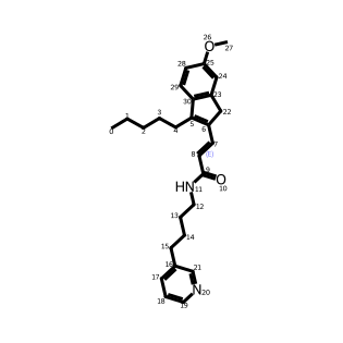 CCCCCC1=C(/C=C/C(=O)NCCCCc2cccnc2)Cc2cc(OC)ccc21